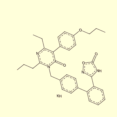 CCCOc1ccc(-c2c(CC)nc(CCC)n(Cc3ccc(-c4ccccc4-c4noc(=O)[nH]4)cc3)c2=O)cc1.[KH]